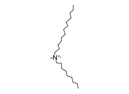 CCCCCCCCCCCCC[N+](C)(C)CCCCCCCCC